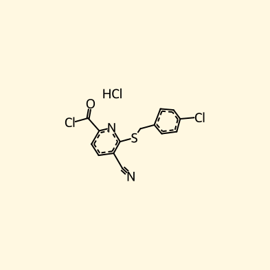 Cl.N#Cc1ccc(C(=O)Cl)nc1SCc1ccc(Cl)cc1